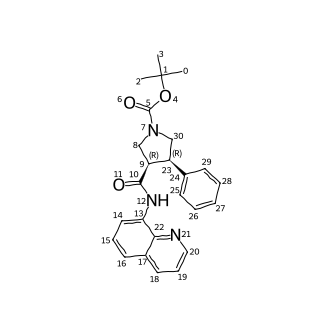 CC(C)(C)OC(=O)N1C[C@H](C(=O)Nc2cccc3cccnc23)[C@H](c2ccccc2)C1